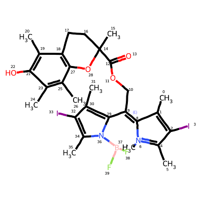 CC1=C(I)C(C)=[N+](C)/C1=C(/COC(=O)C1(C)CCc2c(C)c(O)c(C)c(C)c2O1)c1c(C)c(I)c(C)n1B(F)F